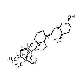 C=C1CC[C@H](O)C/C1=C/C=C1\CCC[C@@]2(C)C1CC[C@@H]2[C@H](C)/C=C\[C@H](C)C(C)(C)O